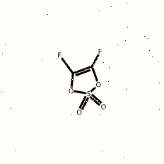 O=S1(=O)OC(F)=C(F)O1